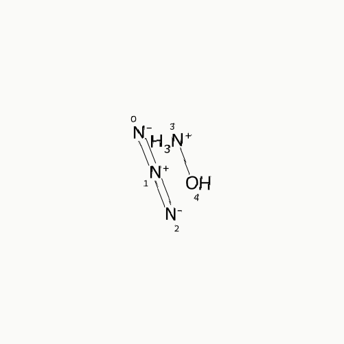 [N-]=[N+]=[N-].[NH3+]O